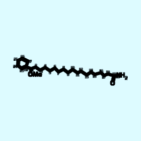 COC(CCCCCCCCCCCCCCCCCC(N)=O)c1ccccc1